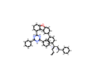 C=C/C=C(\C=C(/C)c1ccccc1)c1ccc(-c2ccc3oc4cccc(-c5nc(-c6ccccc6)nc(-c6ccccc6)n5)c4c3c2)cc1